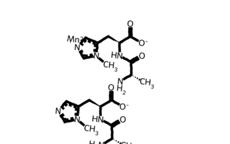 C[C@H](N)C(=O)N[C@@H](Cc1cncn1C)C(=O)[O-].C[C@H](N)C(=O)N[C@@H](Cc1cncn1C)C(=O)[O-].[Mn+2]